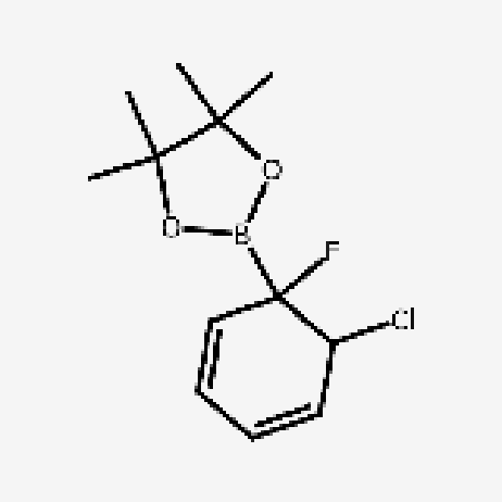 CC1(C)OB(C2(F)C=CC=CC2Cl)OC1(C)C